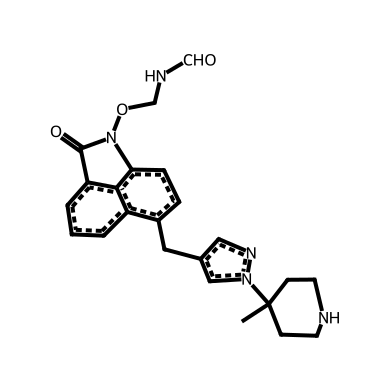 CC1(n2cc(Cc3ccc4c5c(cccc35)C(=O)N4OCNC=O)cn2)CCNCC1